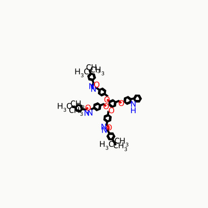 CC(C)(C)c1ccc(-c2nnc(-c3ccc(COc4cc(COc5ccc6c(c5)[nH]c5ccccc56)cc(OCc5ccc(-c6nnc(-c7ccc(C(C)(C)C)cc7)o6)cc5)c4OCc4ccc(-c5nnc(C6=CCC(C(C)(C)C)C=C6)o5)cc4)cc3)o2)cc1